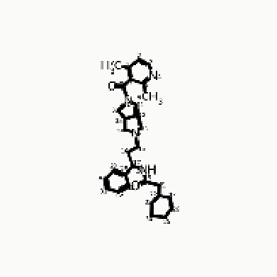 Cc1ccnc(C)c1C(=O)N1C=C2CN(CCC(NC(=O)CC3CCCCC3)c3ccccc3)CC2C1